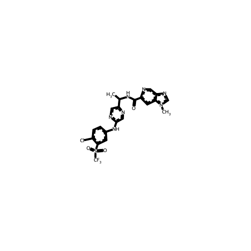 CC(NC(=O)c1cc2c(cn1)ncn2C)c1cnc(Nc2ccc(Cl)c(S(=O)(=O)C(F)(F)F)c2)cn1